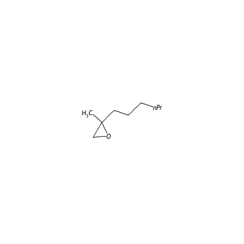 CCCCCCC1(C)CO1